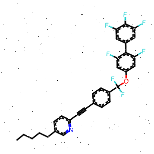 CCCCCc1ccc(C#Cc2ccc(C(F)(F)Oc3cc(F)c(-c4cc(F)c(F)c(F)c4)c(F)c3)cc2)nc1